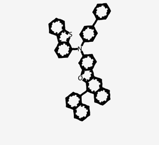 c1ccc(-c2ccc(N(c3ccc4c(c3)oc3c(-c5cccc6ccccc56)c5ccccc5cc34)c3cccc4c3sc3ccccc34)cc2)cc1